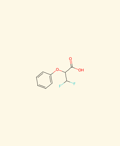 O=C(O)C(Oc1ccccc1)C(F)F